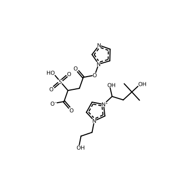 CC(C)(O)CC(O)[n+]1ccn(CCO)c1.O=C(CC(C(=O)[O-])S(=O)(=O)O)On1ccnc1